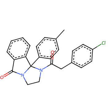 Cc1ccc(C23c4ccccc4C(=O)N2CCN3C(=O)Cc2ccc(Cl)cc2)cc1